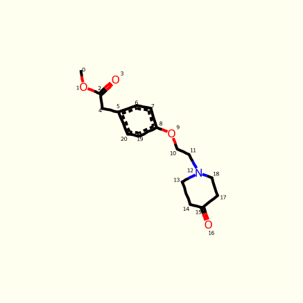 COC(=O)Cc1ccc(OCCN2CCC(=O)CC2)cc1